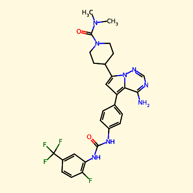 CN(C)C(=O)N1CCC(c2cc(-c3ccc(NC(=O)Nc4cc(C(F)(F)F)ccc4F)cc3)c3c(N)ncnn23)CC1